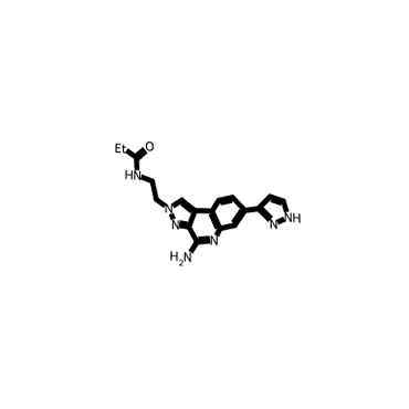 CCC(=O)NCCn1cc2c(n1)c(N)nc1cc(-c3cc[nH]n3)ccc12